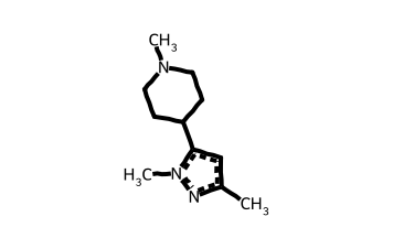 Cc1cc(C2CCN(C)CC2)n(C)n1